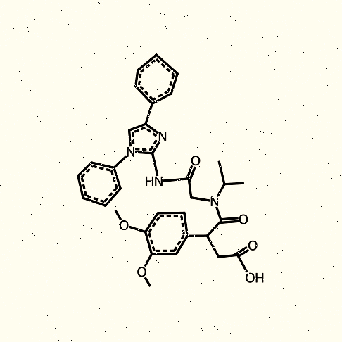 COc1ccc(C(CC(=O)O)C(=O)N(CC(=O)Nc2nc(-c3ccccc3)cn2-c2ccccc2)C(C)C)cc1OC